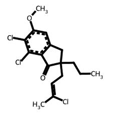 CCCC1(C/C=C(/C)Cl)Cc2cc(OC)c(Cl)c(Cl)c2C1=O